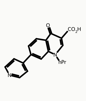 CCCn1cc(C(=O)O)c(=O)c2ccc(-c3ccncc3)cc21